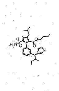 CCCCOC(=O)c1c(CC(C)C)sc(S(N)(=O)=O)c1-c1cccc(C(C(C)CC)n2ccnc2)c1